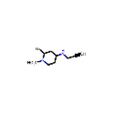 C#CCNC1CCN(C(=O)O)C(C(C)(C)C)C1